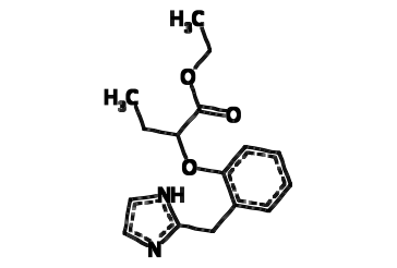 CCOC(=O)C(CC)Oc1ccccc1Cc1ncc[nH]1